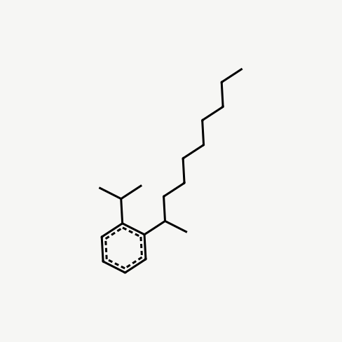 CCCCCCCCC(C)c1ccccc1C(C)C